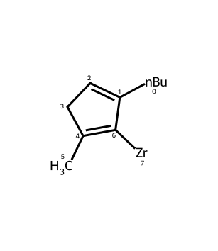 CCCCC1=CCC(C)=[C]1[Zr]